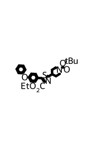 CCOC(=O)c1nc(C2CCN(C(=O)OC(C)(C)C)CC2)sc1-c1ccc(Oc2ccccc2)cc1